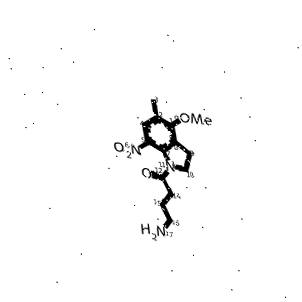 COc1c(C)cc([N+](=O)[O-])c2c1CCN2C(=O)CCCN